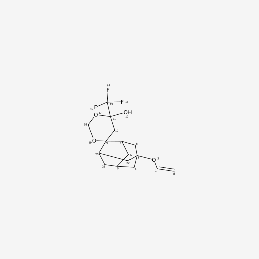 C=COC12CC3CC(C1)C1(CC(O)(C(F)(F)F)OCO1)C(C3)C2